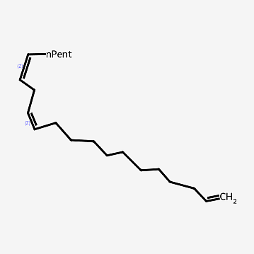 C=CCCCCCCCCC/C=C\C/C=C\CCCCC